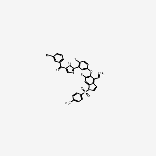 C=Cc1c(Oc2ccc(F)c(-c3ncc(C(=O)c4cccc(Br)c4)[nH]3)c2)c(F)cc2c1ccn2S(=O)(=O)c1ccc(C)cc1